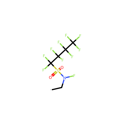 [CH2]CN(F)S(=O)(=O)C(F)(F)C(F)(F)C(F)(F)C(F)(F)F